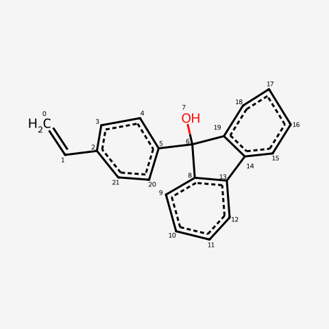 C=Cc1ccc(C2(O)c3ccccc3-c3ccccc32)cc1